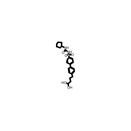 O=C(NC1CCCCC1)NS(=O)(=O)c1ccc(-c2ccc(CCCC(O)O)cc2)cc1